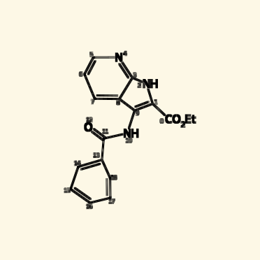 CCOC(=O)c1[nH]c2ncccc2c1NC(=O)c1ccccc1